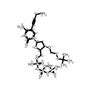 CC(C)(C)SSCO[C@@H]1C[C@H](n2cc(C#CCN)c(N)nc2=O)OC1COP(=O)(O)OP(=O)(O)OP(=O)(O)O